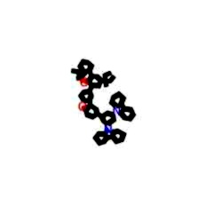 CCC(C)(CC)Oc1c(-c2ccccc2)cc(C(C)(CC)CC)cc1-c1ccc2oc3ccc(-c4cc(-n5c6ccccc6c6ccccc65)cc(-n5c6ccccc6c6ccccc65)c4)cc3c2c1